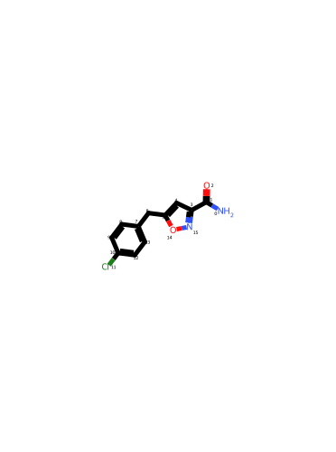 NC(=O)c1cc(Cc2ccc(Cl)cc2)on1